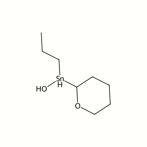 CC[CH2][SnH]([OH])[CH]1CCCCO1